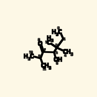 CCC(C)(C)C(O)C(=O)C(C)C